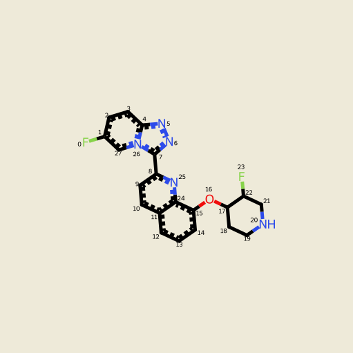 Fc1ccc2nnc(-c3ccc4cccc(OC5CCNCC5F)c4n3)n2c1